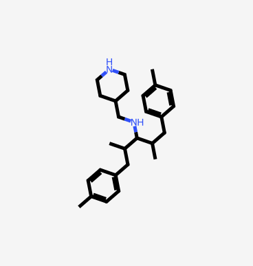 Cc1ccc(CC(C)C(NCC2CCNCC2)C(C)Cc2ccc(C)cc2)cc1